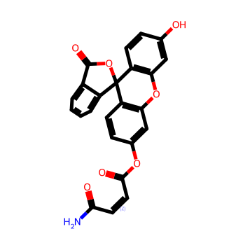 NC(=O)/C=C\C(=O)Oc1ccc2c(c1)Oc1cc(O)ccc1C21OC(=O)c2ccccc21